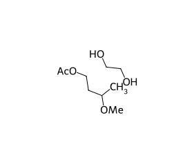 COC(C)CCOC(C)=O.OCCO